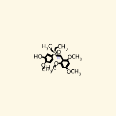 CCS(=O)(/C=C/c1c(OC)cc(OC)cc1OC)(CC)c1ccc(OC)c(O)c1